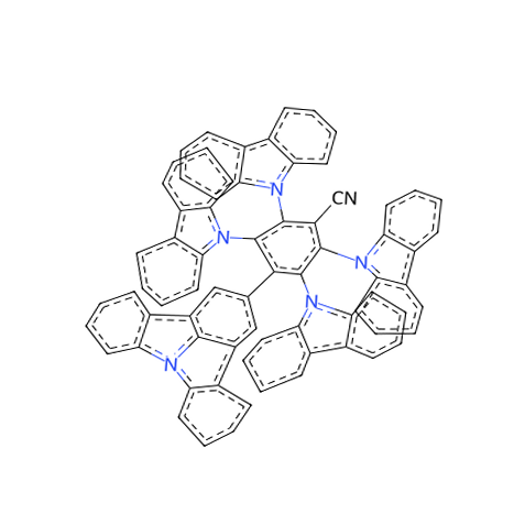 N#Cc1c(-n2c3ccccc3c3ccccc32)c(-n2c3ccccc3c3ccccc32)c(-c2cc3c4ccccc4n4c5ccccc5c(c2)c34)c(-n2c3ccccc3c3ccccc32)c1-n1c2ccccc2c2ccccc21